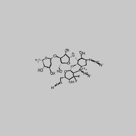 C[C@@H]1O[C@H](O[C@H]2[C@@H](O)[C@H](O[C@H]3[C@H](O[C@H]4O[C@H](CN=[N+]=[N-])[C@@H](O)C(F)(F)C4N=[N+]=[N-])[C@@H](C)CC(N=[N+]=[N-])[C@@H]3O)O[C@@H]2CO)C[C@@H](O)[C@@H]1O